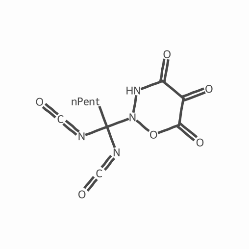 CCCCCC(N=C=O)(N=C=O)n1[nH]c(=O)c(=O)c(=O)o1